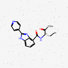 COC(=O)[C@H](CC(C)C)NC(=O)c1cccc2[nH]c(-c3ccncc3)nc12